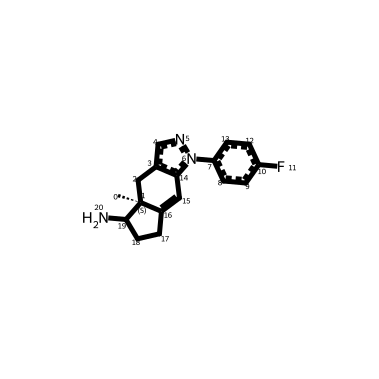 C[C@]12Cc3cnn(-c4ccc(F)cc4)c3C=C1CCC2N